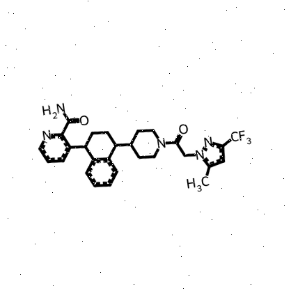 Cc1cc(C(F)(F)F)nn1CC(=O)N1CCC(C2CCC(c3cccnc3C(N)=O)c3ccccc32)CC1